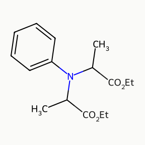 CCOC(=O)C(C)N(c1ccccc1)C(C)C(=O)OCC